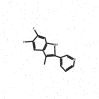 Cc1c(-c2cccnc2)[nH]c2cc(F)c(F)cc12